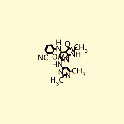 COc1c(C#N)cccc1Nc1cc(Nc2cc(C)nc(C)n2)nc2[nH]n(C)c(=O)c12